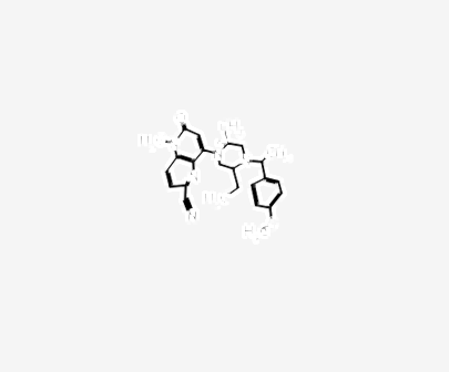 CCC1CN(c2cc(=O)n(C)c3ccc(C#N)nc23)[C@@H](C)CN1C(C)c1ccc(OC)cc1